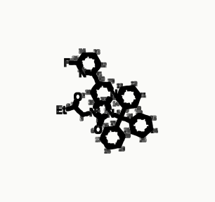 CCC(=O)Cn1c(=O)n(C(c2ccccc2)(c2ccccc2)c2ccccc2)c2ncc(-c3cccc(F)n3)cc21